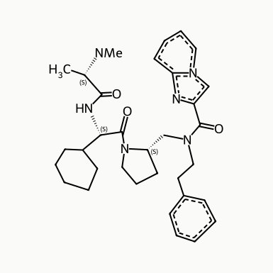 CN[C@@H](C)C(=O)N[C@H](C(=O)N1CCC[C@H]1CN(CCc1ccccc1)C(=O)c1cn2ccccc2n1)C1CCCCC1